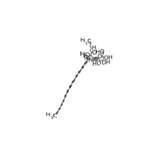 CC#CC#CC#CC#CC#CC#CC#CC#CC#CC#CC#CC#CC(=O)N[C@@H](CO[C@H]1OC(CO)[C@H](O)[C@H](O)C1O)[C@H](O)[C@H](O)CCCCC